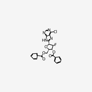 O=C(OC[C@H]1O[C@@H](c2nc3c(Cl)ncnc3[nH]2)[C@@H](F)[C@@H]1OC(=O)c1ccccc1)c1ccccc1